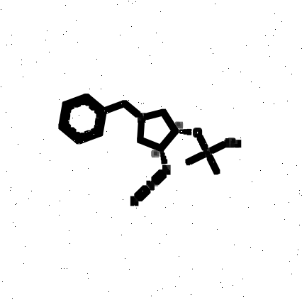 CC(C)(C)[Si](C)(C)O[C@H]1CN(Cc2ccccc2)C[C@H]1N=[N+]=[N-]